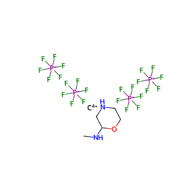 CNC1CNCCO1.F[P-](F)(F)(F)(F)F.F[P-](F)(F)(F)(F)F.F[P-](F)(F)(F)(F)F.F[P-](F)(F)(F)(F)F.[C+4]